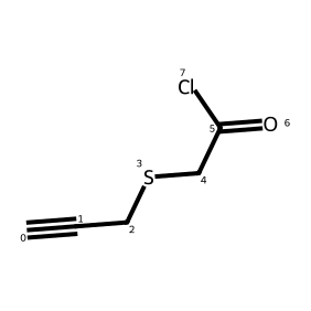 C#CCSCC(=O)Cl